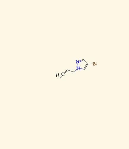 C=CCn1cc(Br)cn1